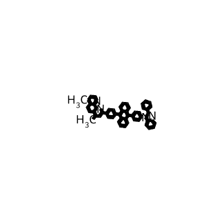 Cc1ccnc2c1ccc1c(C)cc(-c3ccc(-c4c5ccccc5c(-c5ccc(-n6c(-c7ccccc7)nc7ccccc76)cc5)c5ccccc45)cc3)nc12